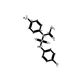 CCc1ccc(NS(=O)(=O)N(C(N)=O)c2ccc(C)cc2)cc1